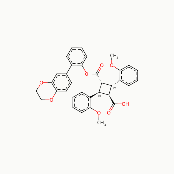 COc1ccccc1[C@@H]1[C@H](C(=O)O)[C@@H](c2ccccc2OC)[C@H]1C(=O)Oc1ccccc1-c1ccc2c(c1)OCCO2